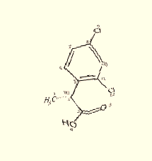 C[C@@H](C(=O)O)c1ccc(Cl)cc1Cl